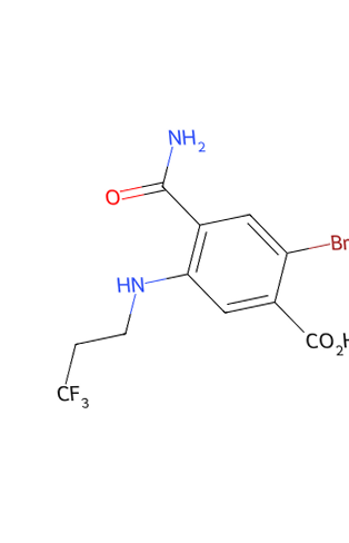 NC(=O)c1cc(Br)c(C(=O)O)cc1NCCC(F)(F)F